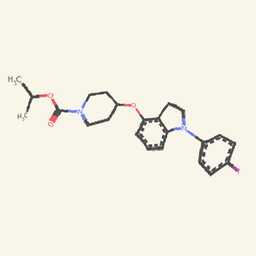 CC(C)OC(=O)N1CCC(Oc2cccc3c2CCN3c2ccc(I)cc2)CC1